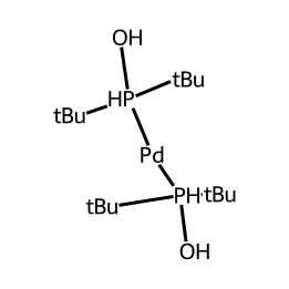 CC(C)(C)[PH](O)([Pd][PH](O)(C(C)(C)C)C(C)(C)C)C(C)(C)C